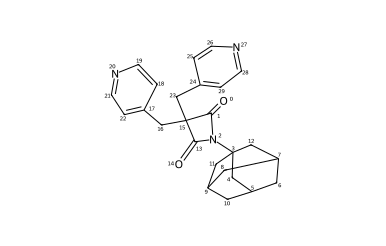 O=C1N(C23CC4CC(CC(C4)C2)C3)C(=O)C1(Cc1ccncc1)Cc1ccncc1